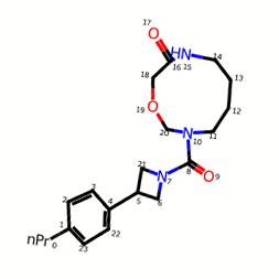 CCCc1ccc(C2CN(C(=O)N3CCCCNC(=O)COC3)C2)cc1